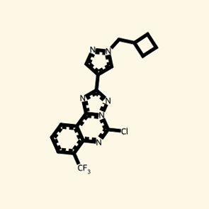 FC(F)(F)c1cccc2c1nc(Cl)n1nc(-c3cnn(CC4CCC4)c3)nc21